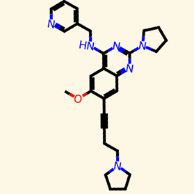 COc1cc2c(NCc3cccnc3)nc(N3CCCC3)nc2cc1C#CCCN1CCCC1